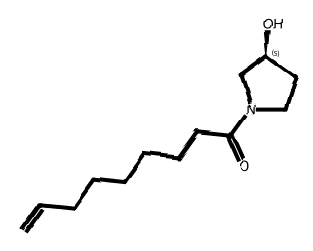 C=CCCCCCCC(=O)N1CC[C@H](O)C1